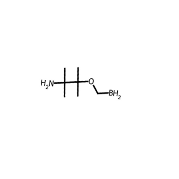 BCOC(C)(C)C(C)(C)N